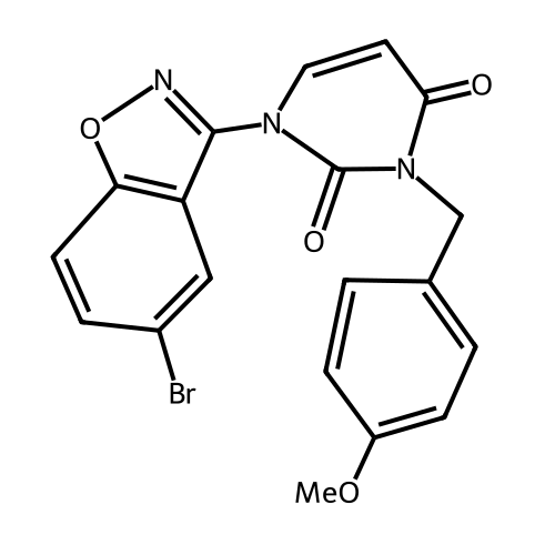 COc1ccc(Cn2c(=O)ccn(-c3noc4ccc(Br)cc34)c2=O)cc1